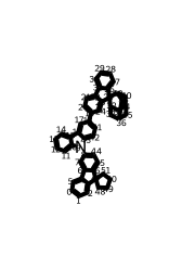 c1ccc2c(c1)-c1cc(-n3c4ccccc4c4cc(-c5ccc6c(c5)C5(c7ccccc7-6)C6CC7CC(C6)CC5C7)ccc43)ccc1C21CCCC1